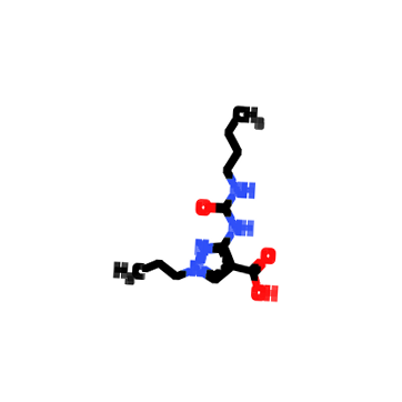 CCCCNC(=O)Nc1nn(CCC)cc1C(=O)O